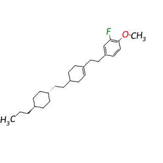 CCC[C@H]1CC[C@H](CCC2CC=C(CCc3ccc(OC)c(F)c3)CC2)CC1